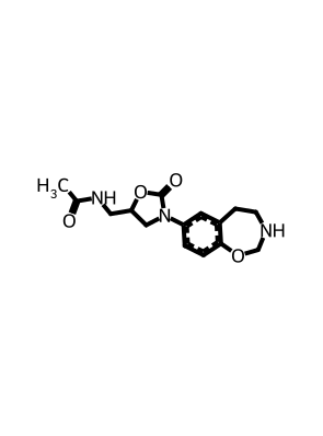 CC(=O)NCC1CN(c2ccc3c(c2)CCNCO3)C(=O)O1